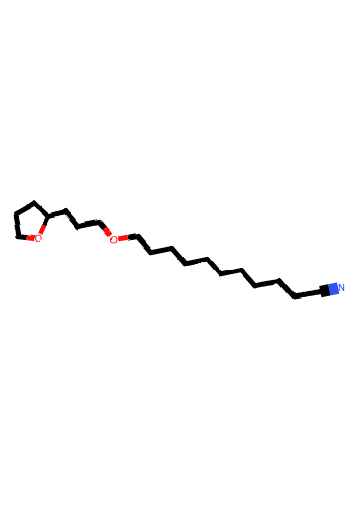 N#CCCCCCCCCCCOCCCC1CCCO1